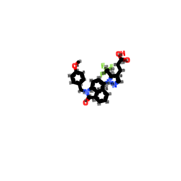 COc1ccc(CN2C(=O)c3cccc4c(-n5ncc(CCC(=O)O)c5C(F)(F)F)ccc2c34)cc1